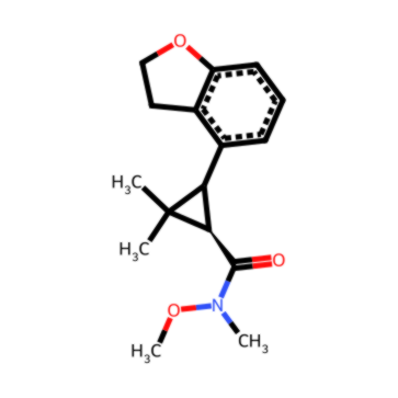 CON(C)C(=O)[C@@H]1C(c2cccc3c2CCO3)C1(C)C